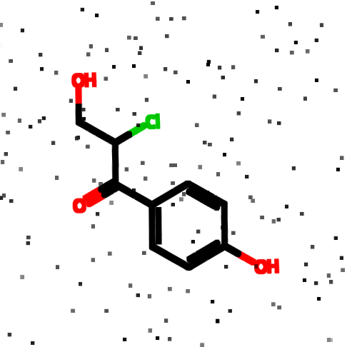 O=C(c1ccc(O)cc1)C(Cl)CO